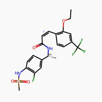 CCOc1cc(C(F)(F)F)ccc1/C=C\C(=O)N[C@H](C)c1ccc(NS(C)(=O)=O)c(F)c1